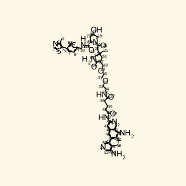 Cc1ncsc1-c1ccc(CNC(=O)[C@@H]2C[C@@H](O)CN2C(=O)CC(C)(C)CC(COCCOCCNC(=O)CCCC(=O)Nc2cc3cc(-c4cncc(N)c4C)c(F)c(N)c3cn2)C(N)=O)cc1